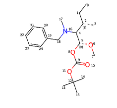 CC[C@H](C)C([C@H](OC)OC(=O)OC(C)(C)C)N(C)Cc1ccccc1